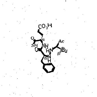 CC[C@H](C)C(NN[C@@H](Cc1ccccc1)C(=O)N[C@@H](CCC(=O)O)C(=O)S)C(C)=O